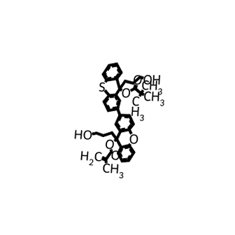 C=C(C)C(=O)OC1(CCCO)c2ccccc2Oc2ccc(-c3ccc4c(c3)C(CCCO)(OC(=O)C(C)(C)C)c3ccccc3S4)cc21